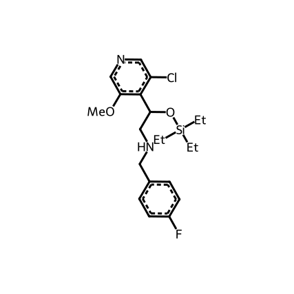 CC[Si](CC)(CC)OC(CNCc1ccc(F)cc1)c1c(Cl)cncc1OC